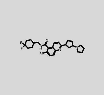 O=C(NCC1CCC(F)(F)CC1)c1c(Cl)ccc2nc(C3CCC(N4CCCC4)C3)ccc12